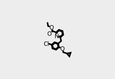 CCOC(=O)c1cccc(Cc2cc(Cl)ccc2OCC2CC2)n1